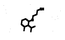 CC(C)C1C(C)CCCC1OCCCO